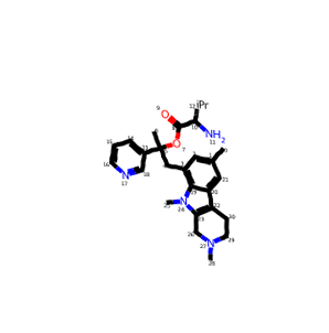 Cc1cc(CC(C)(OC(=O)C(N)C(C)C)c2cccnc2)c2c(c1)c1c(n2C)CN(C)CC1